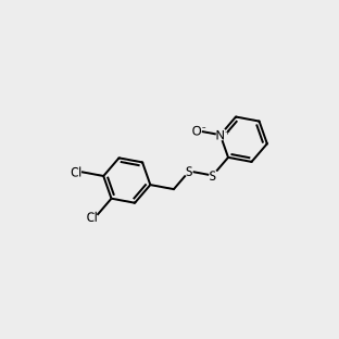 [O-][n+]1ccccc1SSCc1ccc(Cl)c(Cl)c1